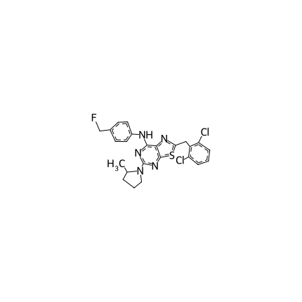 CC1CCCN1c1nc(Nc2ccc(CF)cc2)c2nc(Cc3c(Cl)cccc3Cl)sc2n1